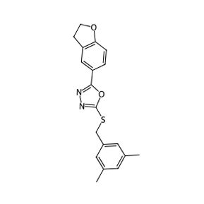 Cc1cc(C)cc(CSc2nnc(-c3ccc4c(c3)CCO4)o2)c1